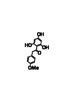 COc1ccc(CC(=O)c2c(O)cc(O)cc2O)cc1